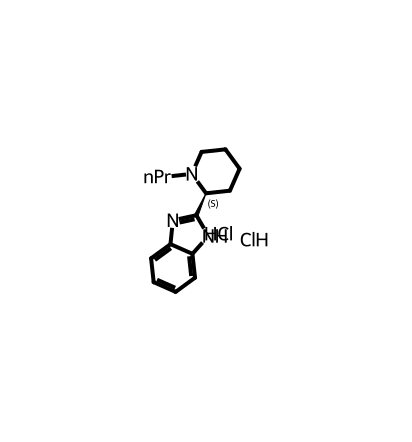 CCCN1CCCC[C@H]1c1nc2ccccc2[nH]1.Cl.Cl